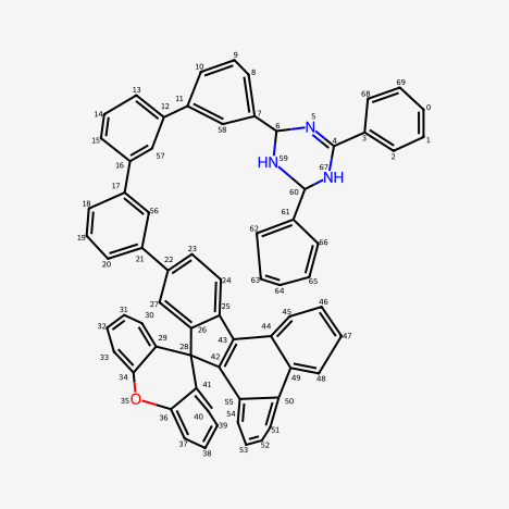 c1ccc(C2=NC(c3cccc(-c4cccc(-c5cccc(-c6ccc7c(c6)C6(c8ccccc8Oc8ccccc86)c6c-7c7ccccc7c7ccccc67)c5)c4)c3)NC(c3ccccc3)N2)cc1